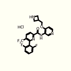 Cl.O=C(Nc1cnccc1OCC1CNC1)c1ccc(C(F)(F)F)c(-c2c(F)cccc2F)n1